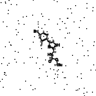 Cc1cc(Br)ccc1-c1c[nH]c(CNC(=O)OC(C)(C)C)n1